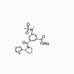 COC(=O)c1cc(C(=O)N2CCCC2c2cccs2)cc(N(C)S(C)(=O)=O)c1